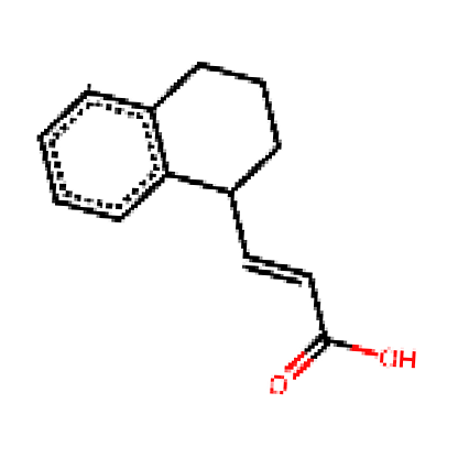 O=C(O)C=CC1CCCc2[c]cccc21